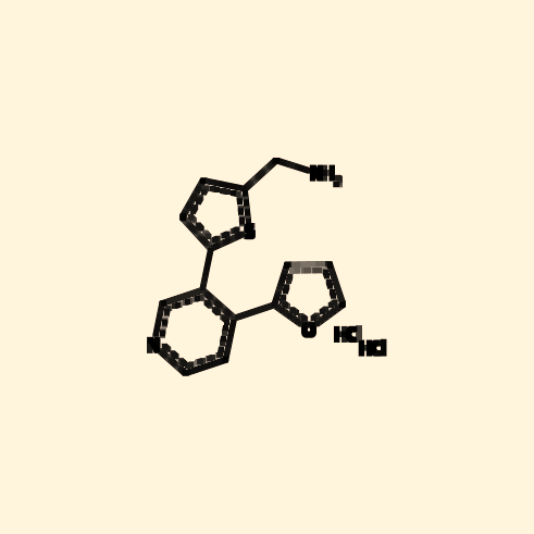 Cl.Cl.NCc1ccc(-c2cnccc2-c2ccco2)s1